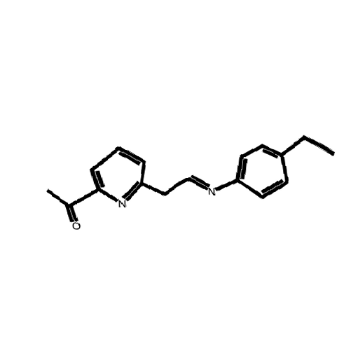 CCc1ccc(N=CCc2cccc(C(C)=O)n2)cc1